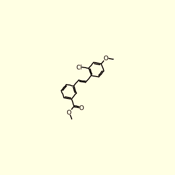 COC(=O)c1cccc(/C=C/c2ccc(OC)cc2Cl)c1